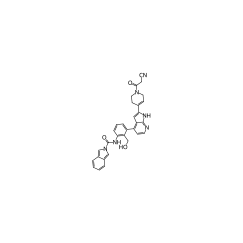 N#CCC(=O)N1CC=C(c2cc3c(-c4cccc(NC(=O)n5cc6ccccc6c5)c4CO)ccnc3[nH]2)CC1